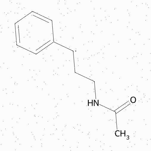 CC(=O)NCC[CH]c1ccccc1